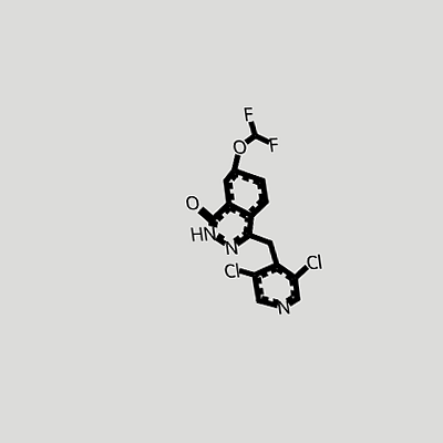 O=c1[nH]nc(Cc2c(Cl)cncc2Cl)c2ccc(OC(F)F)cc12